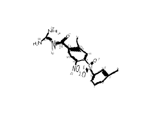 Cc1cccc(S(=O)(=O)c2cc(C)c(C(=O)N=C(N)N)cc2[N+](=O)[O-])c1